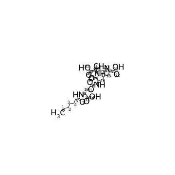 CCCCCCC(=O)N[C@H](COC(=O)N[C@@H](CCC[C@@H](N)C(=O)O)C(=O)N[C@H](C)C(=O)O)C(=O)O